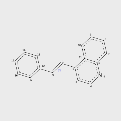 C(=C\c1ccnc2ccccc12)/c1ccccc1